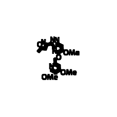 COc1cnc(COc2nn3c(-c4cc(C)on4)nnc3cc2OC)cc1OC